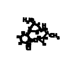 C[C@@H](Nc1cc(N)cc(-c2cccc(Cl)c2Cl)c1)C1CC1